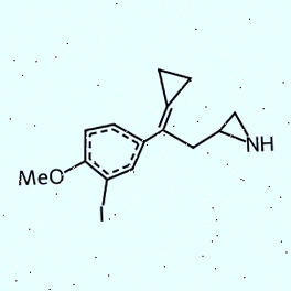 COc1ccc(C(CC2CN2)=C2CC2)cc1I